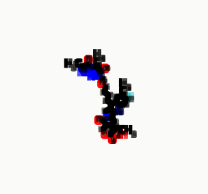 CC[C@@]1(O)C(=O)OCc2c1cc1n(c2=O)Cc2c-1nc1cc(F)c(C)cc1c2CCCCOCNC(=O)[C@H](C)NC(=O)[C@H](C)N